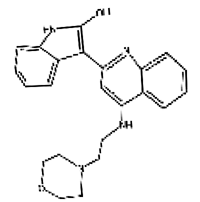 Oc1[nH]c2ccccc2c1-c1cc(NCCN2CCOCC2)c2ccccc2n1